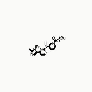 Cc1ncc(-c2ccnc(N[C@H]3CCCN(C(=O)OC(C)(C)C)C3)n2)n1C(C)C